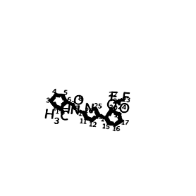 Cc1ccccc1C(=O)Nc1ccc(-c2cccc3c2OC(F)(F)O3)cn1